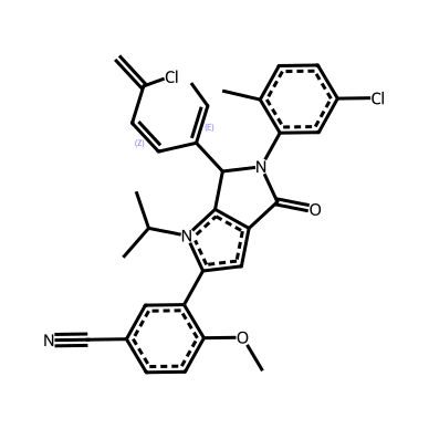 C=C(Cl)/C=C\C(=C/C)C1c2c(cc(-c3cc(C#N)ccc3OC)n2C(C)C)C(=O)N1c1cc(Cl)ccc1C